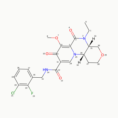 CCN1C(=O)c2c(OC)c(=O)c(C(=O)NCc3cccc(Cl)c3F)cn2[C@H]2CCOC[C@H]21